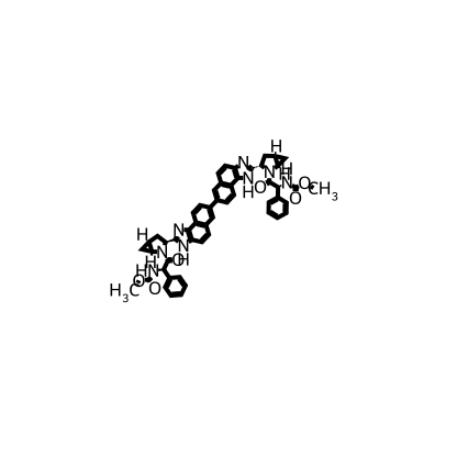 COC(=O)N[C@@H](C(=O)N1[C@@H]2C[C@@H]2C[C@H]1c1nc2c(ccc3cc(-c4ccc5c(ccc6nc([C@@H]7C[C@H]8C[C@H]8N7C(=O)[C@H](NC(=O)OC)c7ccccc7)[nH]c65)c4)ccc32)[nH]1)c1ccccc1